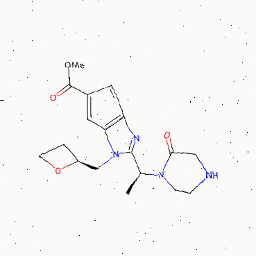 COC(=O)c1ccc2nc([C@H](C)N3CCNCC3=O)n(C[C@@H]3CCO3)c2c1